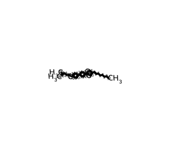 CCCCCCC/C=C/C1COC(c2ccc(-c3ccc(OCCCC(C)CC)cc3)cc2)OC1